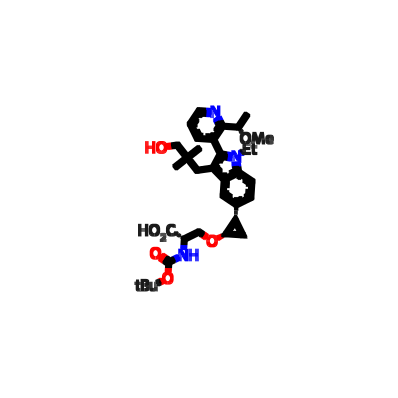 CCn1c(-c2cccnc2[C@H](C)OC)c(CC(C)(C)CO)c2cc([C@@H]3C[C@H]3OC[C@H](NC(=O)OC(C)(C)C)C(=O)O)ccc21